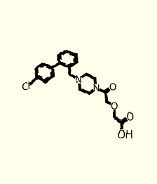 O=C(O)COCC(=O)N1CCN(Cc2ccccc2-c2ccc(Cl)cc2)CC1